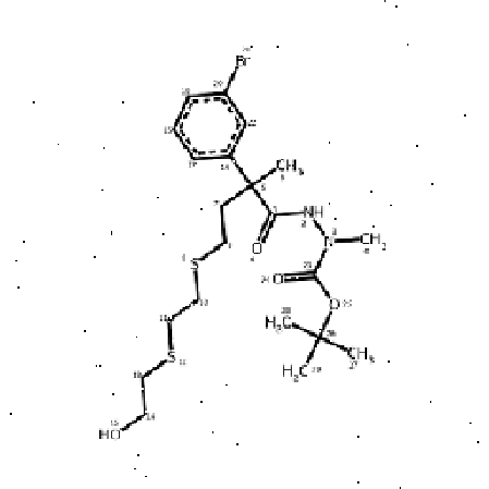 CN(NC(=O)C(C)(CCSCCSCCO)c1cccc(Br)c1)C(=O)OC(C)(C)C